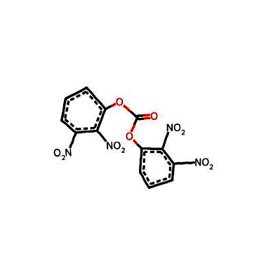 O=C(Oc1cccc([N+](=O)[O-])c1[N+](=O)[O-])Oc1cccc([N+](=O)[O-])c1[N+](=O)[O-]